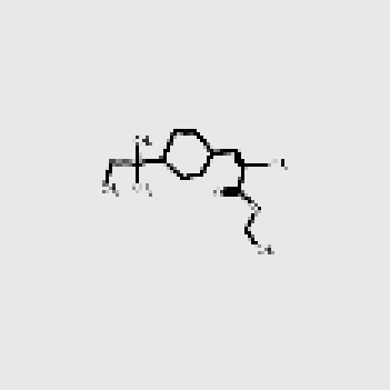 CCOC(=O)C(C)=CC1CCC(C(C)(C)CC)CC1